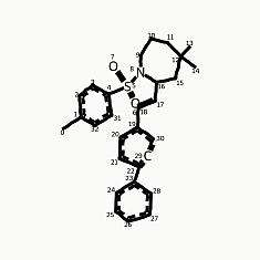 Cc1ccc(S(=O)(=O)N2CCCC(C)(C)CC2C=Cc2ccc(-c3ccccc3)cc2)cc1